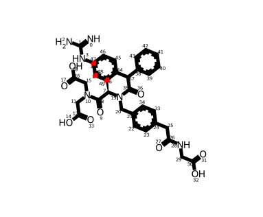 N=C(N)NCCC[C@H](C(=O)N(CC(=O)O)CC(=O)O)N(Cc1ccc(CC(=O)NCC(=O)O)cc1)C(=O)C(c1ccccc1)c1ccccc1